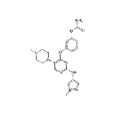 CN1CCN(c2cnc(Nc3cnn(C)c3)nc2Oc2cccc(OC(N)=O)c2)CC1